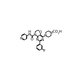 O=C(O)N1CCN(c2nc(-c3cccc(F)c3)nc3c2OCCN3C(=O)Nc2ccncc2)CC1